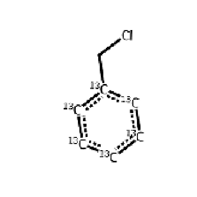 ClC[13c]1[13cH][13cH][13cH][13cH][13cH]1